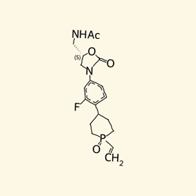 C=CP1(=O)CCC(c2ccc(N3C[C@H](CNC(C)=O)OC3=O)cc2F)CC1